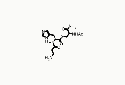 CC(=O)N[C@@H](CSC(=O)[C@H](Cc1cnc[nH]1)NC(=O)CCN)C(N)=O